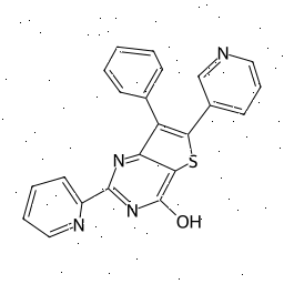 Oc1nc(-c2ccccn2)nc2c(-c3ccccc3)c(-c3cccnc3)sc12